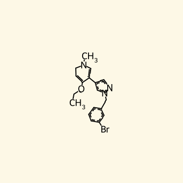 CCOC1=CCN(C)C=C1c1cnn(Cc2cccc(Br)c2)c1